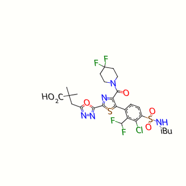 CC[C@@H](C)NS(=O)(=O)c1ccc(-c2sc(-c3nnc(CC(C)(C)C(=O)O)o3)nc2C(=O)N2CCC(F)(F)CC2)c(C(F)F)c1Cl